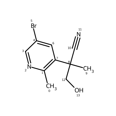 Cc1ncc(Br)cc1C(C)(C#N)CO